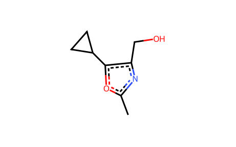 Cc1nc(CO)c(C2CC2)o1